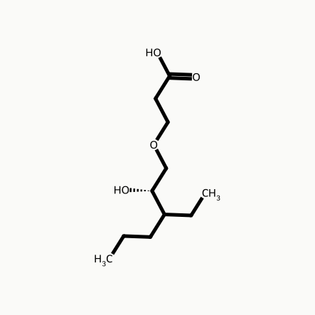 CCCC(CC)[C@H](O)COCCC(=O)O